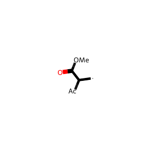 [CH2]C(C(C)=O)C(=O)OC